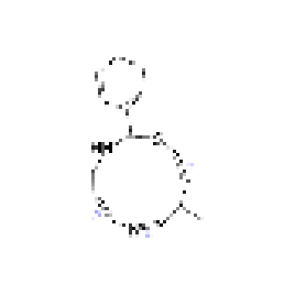 CC1/C=C\SC(C2=CCCC=C2)NC/C=C\N=C/1